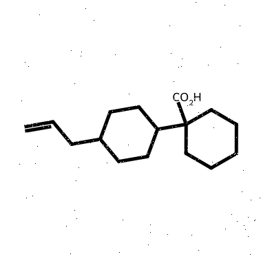 C=CCC1CCC(C2(C(=O)O)CCCCC2)CC1